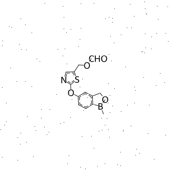 CB1OCc2cc(Oc3ncc(COC=O)s3)ccc21